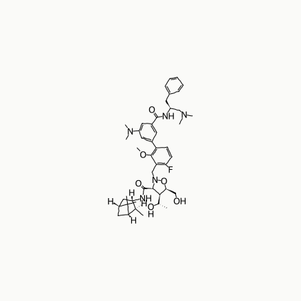 COc1c(-c2cc(C(=O)N[C@@H](Cc3ccccc3)CN(C)C)cc(N(C)C)c2)ccc(F)c1CN1O[C@@H](CO)[C@@H]([C@H](C)O)[C@H]1C(=O)N[C@H]1C[C@H]2C[C@@H]([C@@H]1C)C2(C)C